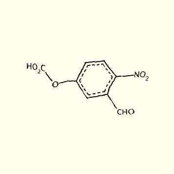 O=Cc1cc(OC(=O)O)ccc1[N+](=O)[O-]